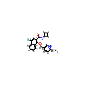 O=C(NC1CCC1)c1cc(F)c2ccccc2c1OCc1ccc(C(F)(F)F)nc1